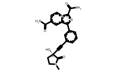 CN1CC[C@@](O)(C#Cc2cccc(-c3nc(C(N)=O)n4ccc(C(N)=O)cc34)c2)C1=O